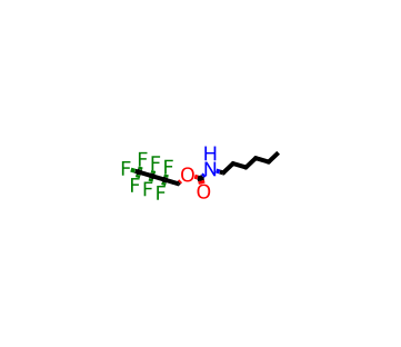 CCCCCCNC(=O)OCC(F)(F)C(F)(F)C(F)(F)F